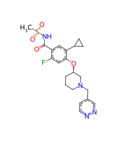 CS(=O)(=O)NC(=O)c1cc(C2CC2)c(O[C@@H]2CCCN(Cc3ccnnc3)C2)cc1F